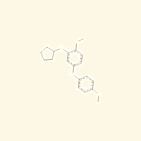 COc1ccc(Nc2ccc(OC)c(OC3CCCC3)c2)cc1